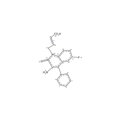 Nc1c(-c2ccccc2)c2cc(F)ccc2n(C/C=C/C(=O)O)c1=O